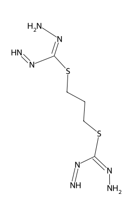 N=NC(=NN)SCCCSC(N=N)=NN